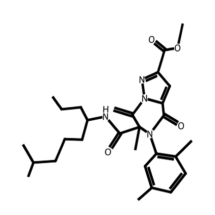 C=C1n2nc(C(=O)OC)cc2C(=O)N(c2cc(C)ccc2C)C1(C)C(=O)NC(CCC)CCCC(C)C